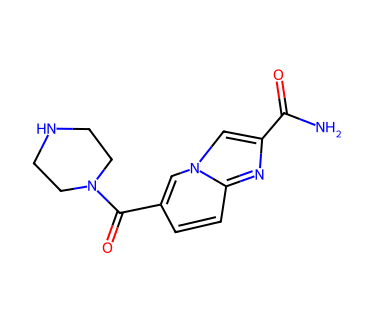 NC(=O)c1cn2cc(C(=O)N3CCNCC3)ccc2n1